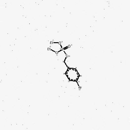 CCOP(=O)(OCC)OCc1ccc(Br)cc1